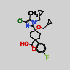 Cc1c(Cl)nc(C2(OCC3CC3)CCC(C(=O)O)(c3ccc(F)cc3)CC2)n1CC1CC1